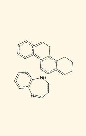 C1=CNc2ccccc2N=C1.C1=c2ccc3c(c2CCC1)CC=c1ccccc1=3